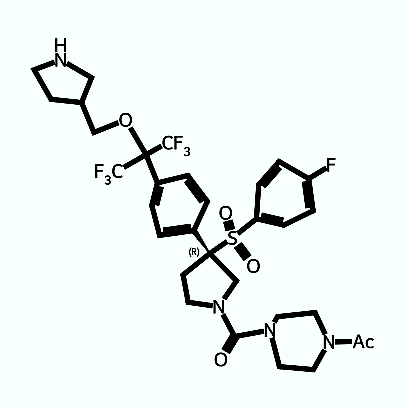 CC(=O)N1CCN(C(=O)N2CC[C@](c3ccc(C(OCC4CCNC4)(C(F)(F)F)C(F)(F)F)cc3)(S(=O)(=O)c3ccc(F)cc3)C2)CC1